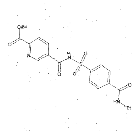 CCNC(=O)c1ccc(S(=O)(=O)NC(=O)c2ccc(C(=O)OCC(C)C)nc2)cc1